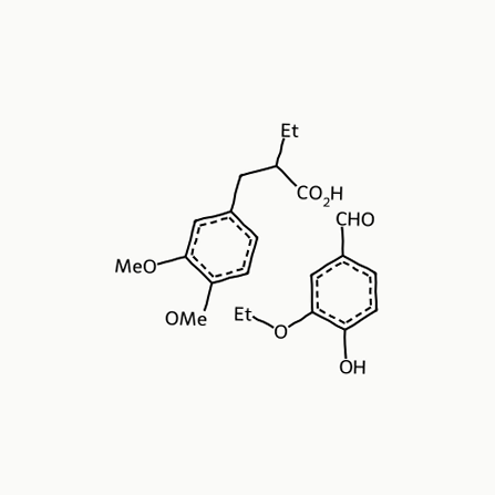 CCC(Cc1ccc(OC)c(OC)c1)C(=O)O.CCOc1cc(C=O)ccc1O